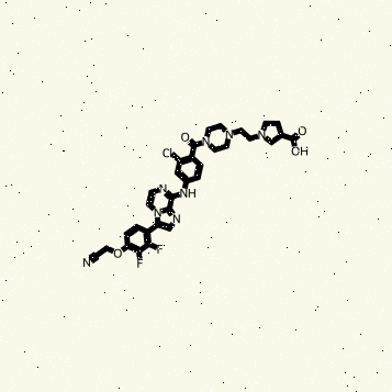 N#CCOc1ccc(-c2cnc3c(Nc4ccc(C(=O)N5CCN(CCN6CCC(C(=O)O)C6)CC5)c(Cl)c4)nccn23)c(F)c1F